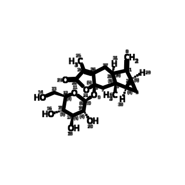 C=C1[C@H]2C[C@H]2[C@]2(C)C[C@]3(O[C@@H]4O[C@H](CO)[C@@H](O)[C@H](O)[C@H]4O)OC(=O)C(C)=C3C[C@@H]12